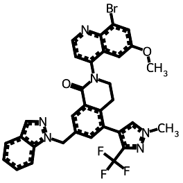 COc1cc(Br)c2nccc(N3CCc4c(cc(Cn5ncc6ccccc65)cc4-c4cn(C)nc4C(F)(F)F)C3=O)c2c1